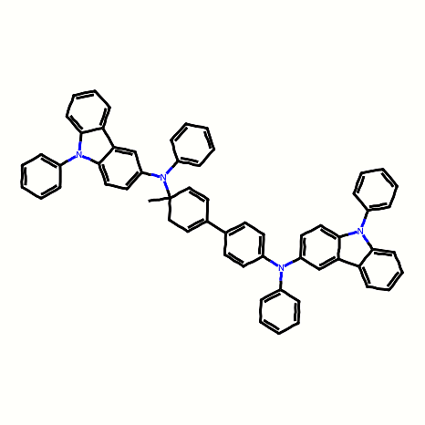 CC1(N(c2ccccc2)c2ccc3c(c2)c2ccccc2n3-c2ccccc2)C=CC(c2ccc(N(c3ccccc3)c3ccc4c(c3)c3ccccc3n4-c3ccccc3)cc2)=CC1